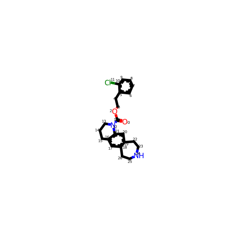 O=C(OCCc1ccccc1Cl)N1CCCc2cc3c(cc21)CCNCC3